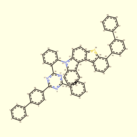 c1ccc(-c2ccc(-c3nc(-c4ccccc4)nc(-c4ccccc4-n4c5ccccc5c5c6c(ccc54)sc4c(-c5cccc(-c7ccccc7)c5)cccc46)n3)cc2)cc1